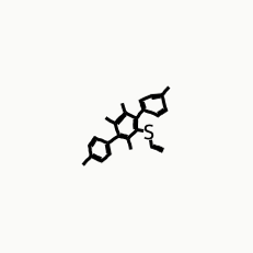 C=CSc1c(C)c(-c2ccc(C)cc2)c(C)c(C)c1-c1ccc(C)cc1